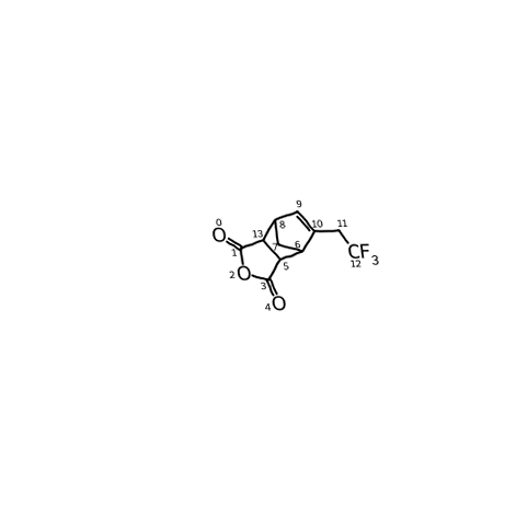 O=C1OC(=O)C2C3CC(C=C3CC(F)(F)F)C12